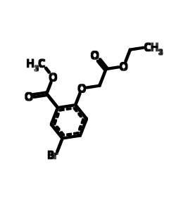 CCOC(=O)COc1ccc(Br)cc1C(=O)OC